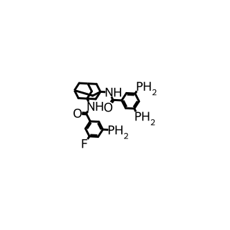 O=C(NC12CC3CC(C1)CC(NC(=O)c1cc(P)cc(P)c1)(C3)C2)c1cc(F)cc(P)c1